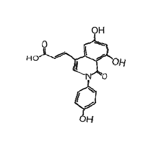 O=C(O)/C=C/c1cn(-c2ccc(O)cc2)c(=O)c2c(O)cc(O)cc12